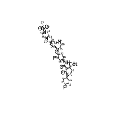 CCOc1ccn(-c2ccc(F)cc2)c(=O)c1C(=O)Nc1ccc(Oc2ccnc3cc(CN4CCN(S(C)(=O)=O)CC4)sc23)c(F)c1